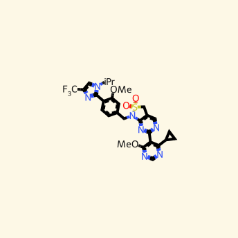 COc1cc(CN2c3nc(-c4c(OC)ncnc4C4CC4)ncc3CS2(=O)=O)ccc1-c1nc(C(F)(F)F)cn1C(C)C